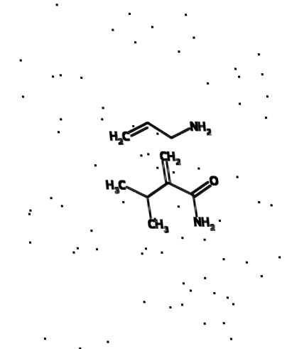 C=C(C(N)=O)C(C)C.C=CCN